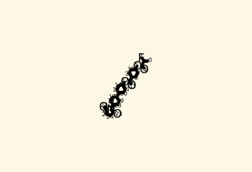 C=C(F)C(=O)Oc1ccc(C(=O)Oc2ccc(-c3ccc(N4C(=O)C=CC4=O)cc3)cc2)cc1